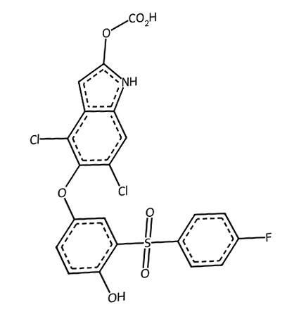 O=C(O)Oc1cc2c(Cl)c(Oc3ccc(O)c(S(=O)(=O)c4ccc(F)cc4)c3)c(Cl)cc2[nH]1